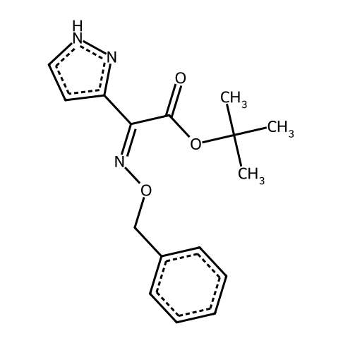 CC(C)(C)OC(=O)C(=NOCc1ccccc1)c1cc[nH]n1